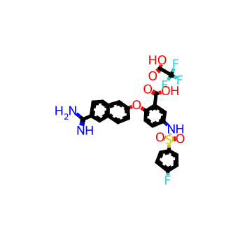 N=C(N)c1ccc2cc(Oc3ccc(NS(=O)(=O)c4ccc(F)cc4)cc3C(=O)O)ccc2c1.O=C(O)C(F)(F)F